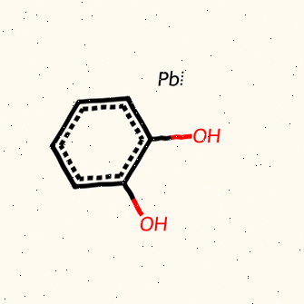 Oc1ccccc1O.[Pb]